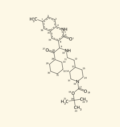 Cc1ccc2[nH]c(=O)c(C(NCCC3CCN(C(=O)OC(C)(C)C)CC3)C(=O)C3CCCCC3)cc2c1